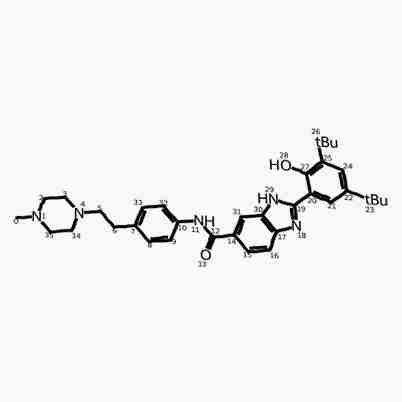 CN1CCN(CCc2ccc(NC(=O)c3ccc4nc(-c5cc(C(C)(C)C)cc(C(C)(C)C)c5O)[nH]c4c3)cc2)CC1